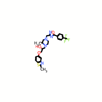 Cc1nc2cc(OC[C@@H](O)CN3CCN(Cc4noc(-c5ccc(C(F)(F)F)cc5)n4)C[C@@H]3C)ccc2s1